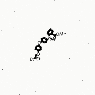 CCC(CC)COc1ccc(Oc2ccc(N(C(C)=O)c3ccccc3C(=O)OC)cc2)cc1